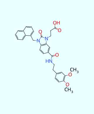 COc1ccc(CCNC(=O)c2ccc3c(c2)n(CCC(=O)O)c(=O)n3Cc2cccc3ccccc23)cc1OC